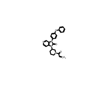 C=CC(=O)N1CCCC(n2c(=O)n(-c3ccc(Oc4ccccc4)cc3)c3cnccc32)C1